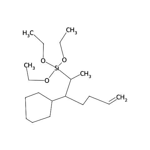 C=CCCC(C1CCCCC1)C(C)[Si](OCC)(OCC)OCC